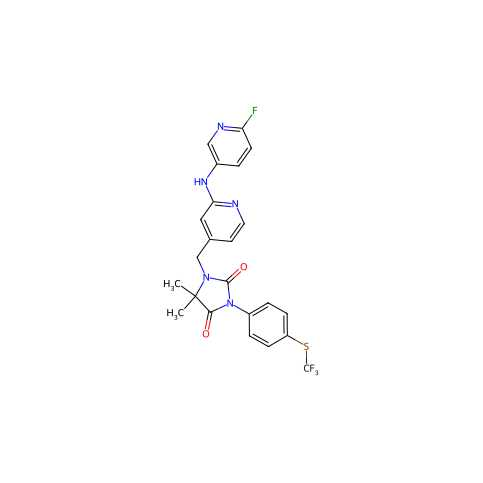 CC1(C)C(=O)N(c2ccc(SC(F)(F)F)cc2)C(=O)N1Cc1ccnc(Nc2ccc(F)nc2)c1